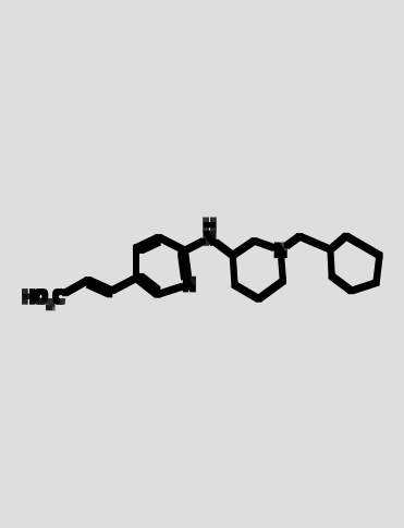 O=C(O)/C=C/c1ccc(NC2CCCN(CC3CCCCC3)C2)nc1